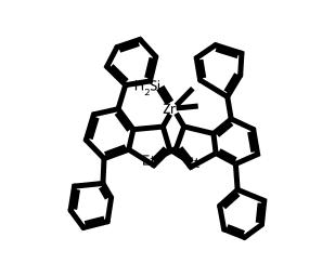 CCC1=Cc2c(-c3ccccc3)ccc(-c3ccccc3)c2[CH]1[Zr]([CH3])([CH3])(=[SiH2])[CH]1C(CC)=Cc2c(-c3ccccc3)ccc(-c3ccccc3)c21